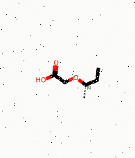 CC[C@H](C)OCC(=O)O